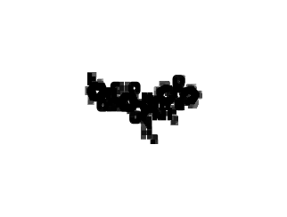 COc1ccc(F)cc1N(C=O)Cc1ccc(-c2nn(C3CCN(C(=O)[C@H]4CCCN4C)CC3)c(N)c2C(N)=O)cc1